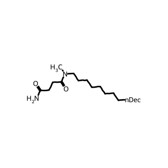 CCCCCCCCCCCCCCCCCCN(C)C(=O)CCC(N)=O